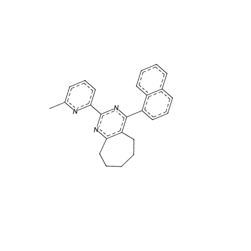 Cc1cccc(-c2nc3c(c(-c4cccc5ccccc45)n2)CCCCC3)n1